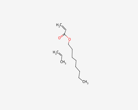 C=CC.C=CC(=O)OCCCCCCCC